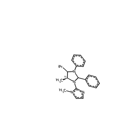 CC(C)C1[C@H](C)N(c2nccn2C)C(c2ccccc2)N1c1ccccc1